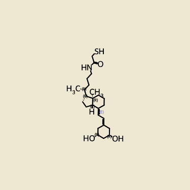 C[C@H](CCCNC(=O)CS)[C@H]1CC[C@H]2/C(=C/C=C3C[C@@H](O)C[C@H](O)C3)CCC[C@]12C